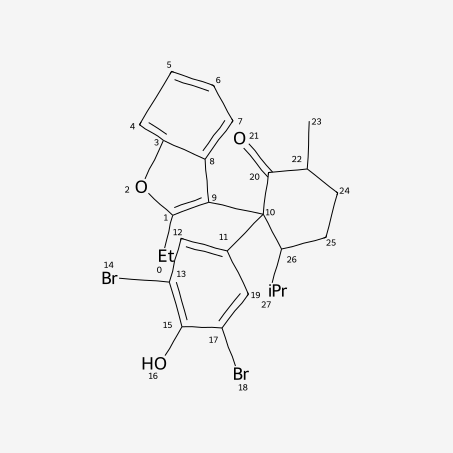 CCc1oc2ccccc2c1C1(c2cc(Br)c(O)c(Br)c2)C(=O)C(C)CCC1C(C)C